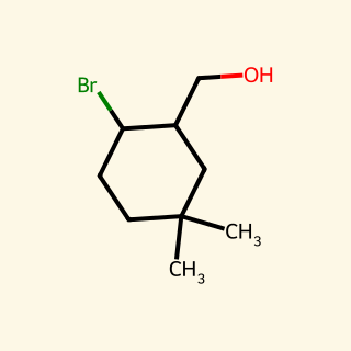 CC1(C)CCC(Br)C(CO)C1